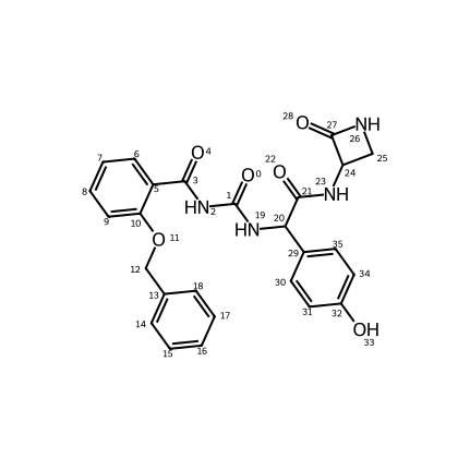 O=C(NC(=O)c1ccccc1OCc1ccccc1)NC(C(=O)NC1CNC1=O)c1ccc(O)cc1